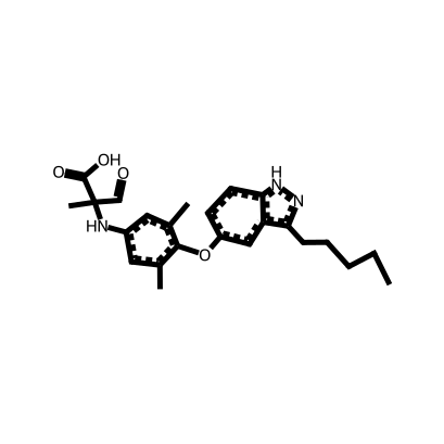 CCCCCc1n[nH]c2ccc(Oc3c(C)cc(NC(C)(C=O)C(=O)O)cc3C)cc12